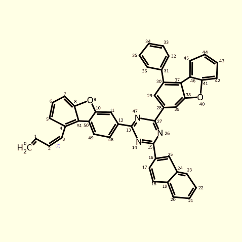 C=C/C=C\c1cccc2oc3cc(-c4nc(-c5ccc6ccccc6c5)nc(-c5cc(-c6ccccc6)c6c(c5)oc5ccccc56)n4)ccc3c12